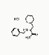 Cl.NC(=O)C(CC1CCCCC1)NCc1ccccc1